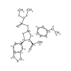 CCC(CC)C(=O)CN1C[C@H](c2ccc3c(c2)OCO3)[C@H](C(=O)O)[C@H]1c1ccc(OC)cc1